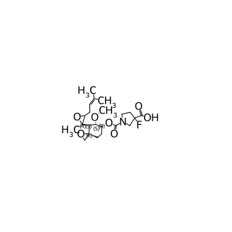 CO[C@@H]1[C@H](OC(=O)N2CCC(F)(C(=O)O)C2)CC[C@]2(CO2)[C@H]1[C@@]1(C)OC1CC=C(C)C